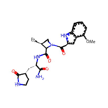 CC[C@H]1CN(C(=O)c2cc3c(OC)cccc3[nH]2)C1C(=O)N[C@@H](C[C@@H]1CCNC1=O)C(N)=O